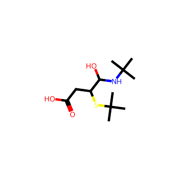 CC(C)(C)NC(O)C(CC(=O)O)SC(C)(C)C